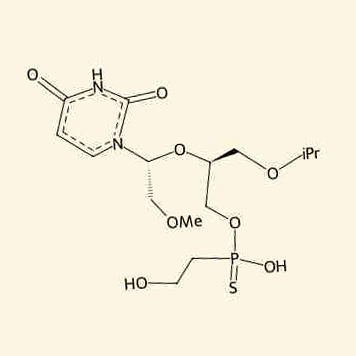 COC[C@@H](O[C@@H](COC(C)C)COP(O)(=S)CCO)n1ccc(=O)[nH]c1=O